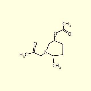 CC(=O)CN1C[C@@H](OC(C)=O)CC[C@H]1C